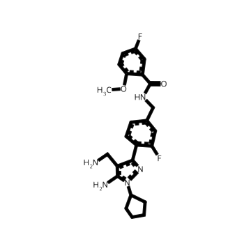 COc1ccc(F)cc1C(=O)NCc1ccc(-c2nn(C3CCCC3)c(N)c2CN)c(F)c1